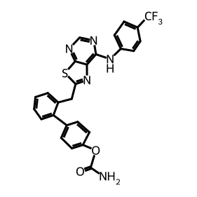 NC(=O)Oc1ccc(-c2ccccc2Cc2nc3c(Nc4ccc(C(F)(F)F)cc4)ncnc3s2)cc1